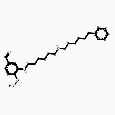 COc1ccc(C=O)cc1OCCCCCCOCCCCCCc1ccccc1